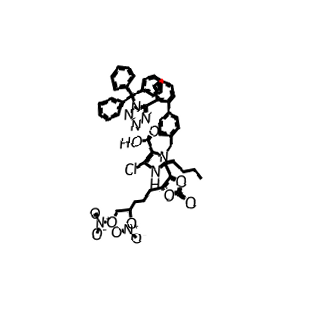 CCCCC1(c2oc(=O)oc2CCCC(CO[N+](=O)[O-])O[N+](=O)[O-])NC(Cl)=C(C(=O)O)N1Cc1ccc(-c2ccccc2-c2nnnn2C(c2ccccc2)(c2ccccc2)c2ccccc2)cc1